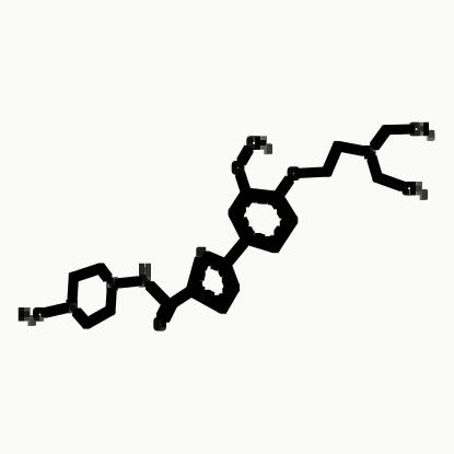 CCN(CC)CCOc1ccc(-c2ccc(C(=O)NN3CCN(C)CC3)s2)cc1OC